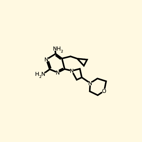 Nc1nc(N)c(CC2CC2)c(N2CC(N3CCOCC3)C2)n1